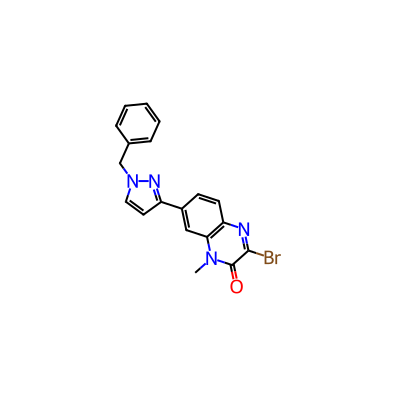 Cn1c(=O)c(Br)nc2ccc(-c3ccn(Cc4ccccc4)n3)cc21